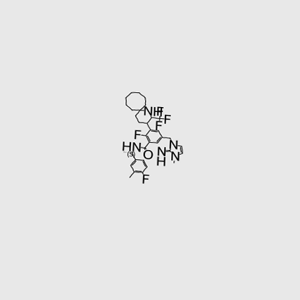 Cc1cc([C@H](C)NC(=O)c2cc(Cn3ccn(C)c3=N)cc(C3CCC4(CCCCCCC4)NC3C(F)(F)F)c2F)ccc1F